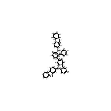 c1ccc2c(c1)oc1cc(-n3c4ccccc4c4ccc(-c5cccc6c5c5ccccc5n6-c5ccc6c(c5)oc5ccccc56)cc43)ccc12